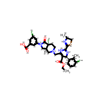 CCOC(=O)C1=C(CN2CC[C@]3(F)C(=O)N(c4cc(F)cc(C(=O)O)c4)C[C@@H]3C2)NC(C2=NC(C)CS2)=N[C@H]1c1cccc(F)c1C